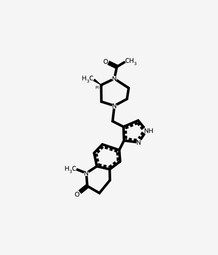 CC(=O)N1CCN(Cc2c[nH]nc2-c2ccc3c(c2)CCC(=O)N3C)C[C@H]1C